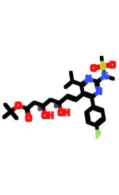 CC(C)c1nc(N(C)S(C)(=O)=O)nc(-c2ccc(F)cc2)c1C=C[C@@H](O)C[C@@H](O)CC(=O)OC(C)(C)C